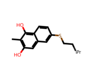 Cc1c(O)cc2cc(SCCC(C)C)ccc2c1O